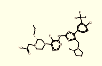 COC[C@@H]1CN(c2ncnc(Nc3nc(-c4ccc(Cl)c(C(F)(F)F)c4)c(CN4CCC[C@H]4C)s3)c2F)CCN1CC(=O)O